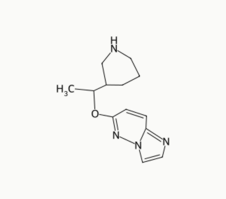 CC(Oc1ccc2nccn2n1)C1CCCNC1